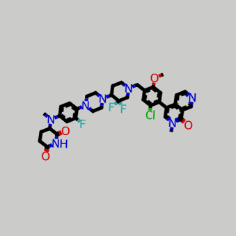 COc1cc(-c2cn(C)c(=O)c3cnccc23)c(Cl)cc1CN1CCC(N2CCN(c3ccc(N(C)C4CCC(=O)NC4=O)cc3F)CC2)C(F)(F)C1